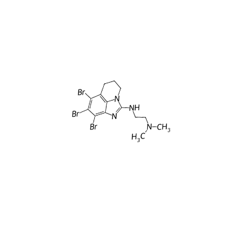 CN(C)CCNc1nc2c(Br)c(Br)c(Br)c3c2n1CCC3